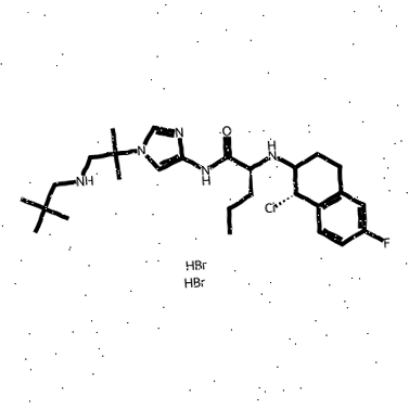 Br.Br.CCC[C@H](NC1CCc2cc(F)ccc2[C@@H]1Cl)C(=O)Nc1cn(C(C)(C)CNCC(C)(C)C)cn1